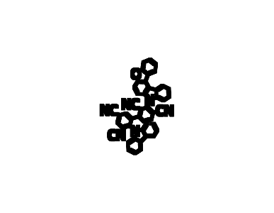 N#Cc1cc(C#N)c(-n2c3ccccc3c3ccccc32)c(-c2ccc(C#N)c(-n3c4ccccc4c4c5c(ccc43)oc3ccccc35)c2C#N)c1